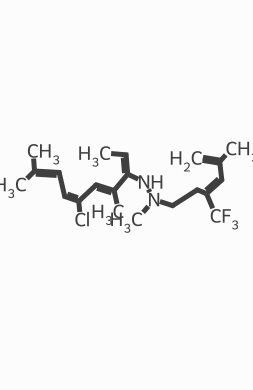 C=C(C)/C=C(\CCN(C)NC(=C/C)/C(C)=C/C(Cl)=C\C=C(C)C)C(F)(F)F